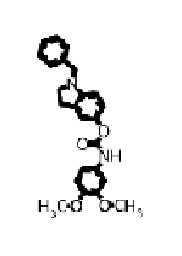 COc1ccc(NC(=O)Oc2ccc3c(c2)CCN3Cc2ccccc2)cc1OC